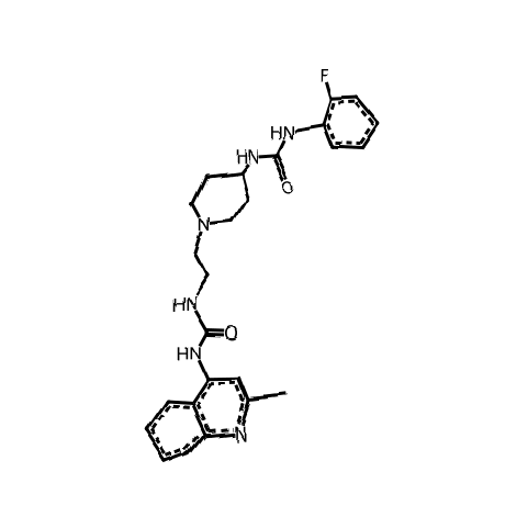 Cc1cc(NC(=O)NCCN2CCC(NC(=O)Nc3ccccc3F)CC2)c2ccccc2n1